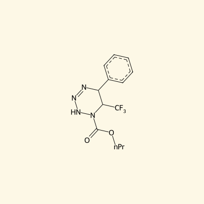 CCCOC(=O)N1NN=NC(c2ccccc2)C1C(F)(F)F